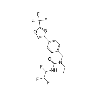 CCN(Cc1ccc(-c2noc(C(F)(F)F)n2)cc1)C(=O)NC(F)C(F)F